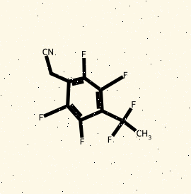 CC(F)(F)c1c(F)c(F)c(CC#N)c(F)c1F